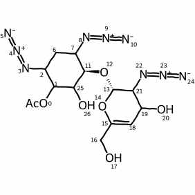 CC(=O)OC1C(N=[N+]=[N-])CC(N=[N+]=[N-])[C@@H](O[C@H]2OC(CO)=CC(O)C2N=[N+]=[N-])C1O